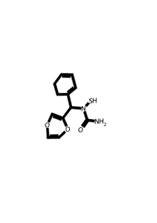 NC(=O)N(S)C(C1=CC=CCC1)C1=COC=CO1